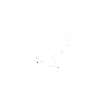 CC(=O)OC[C@H]1O[C@H](CO)[C@@H](O)[C@@H]1O